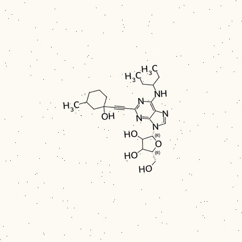 CCC(CC)Nc1nc(C#CC2(O)CCCC(C)C2)nc2c1ncn2[C@@H]1O[C@H](CO)C(O)C1O